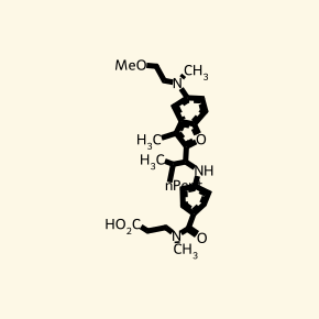 CCCCCC(C)C(Nc1ccc(C(=O)N(C)CCC(=O)O)cc1)c1oc2ccc(N(C)CCOC)cc2c1C